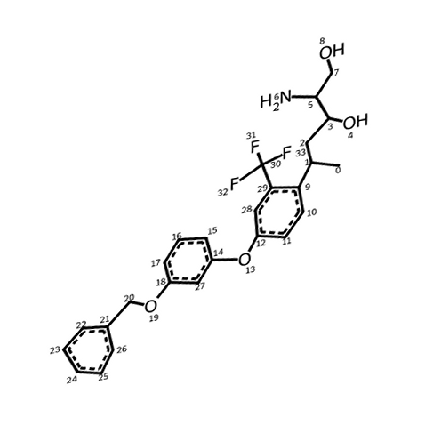 CC(CC(O)C(N)CO)c1ccc(Oc2cccc(OCc3ccccc3)c2)cc1C(F)(F)F